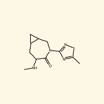 CNC1CC2CC2CN(c2nsc(C)n2)C1=O